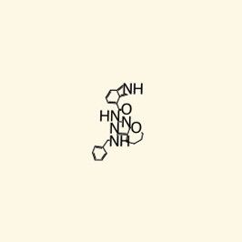 O=C(Nc1nc(NCc2ccccc2)c2c(n1)OCCCC2)c1cccc2c[nH]cc12